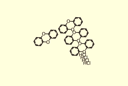 Cl.Cl.Cl.Cl.c1ccc2c(c1)Oc1ccccc1O2.c1ccc2c(c1)Oc1ccccc1O2.c1ccc2c(c1)Oc1ccccc1O2.c1ccc2c(c1)Oc1ccccc1O2